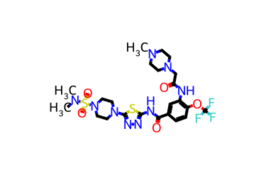 CN1CCN(CC(=O)Nc2cc(C(=O)Nc3nnc(N4CCN(S(=O)(=O)N(C)C)CC4)s3)ccc2OC(F)(F)F)CC1